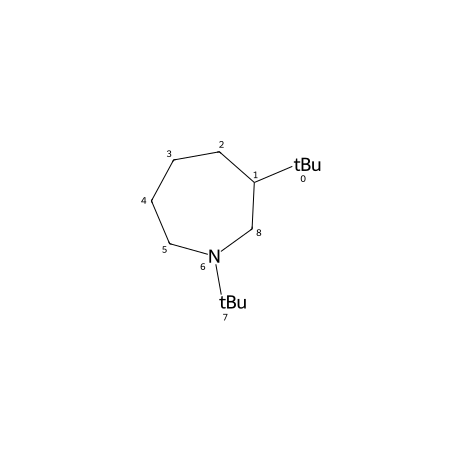 CC(C)(C)C1CCCCN(C(C)(C)C)C1